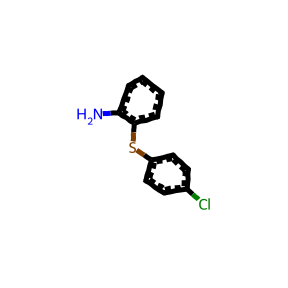 Nc1ccccc1Sc1ccc(Cl)cc1